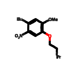 CCC(C)c1cc(OC)c(OCCC(C)C)cc1[N+](=O)[O-]